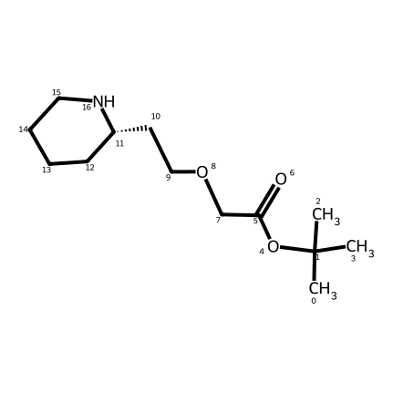 CC(C)(C)OC(=O)COCC[C@@H]1CCCCN1